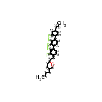 C=CCCC1CCC(CCc2ccc(-c3ccc(-c4ccc(CCC)cc4F)c(F)c3F)c(F)c2F)OC1